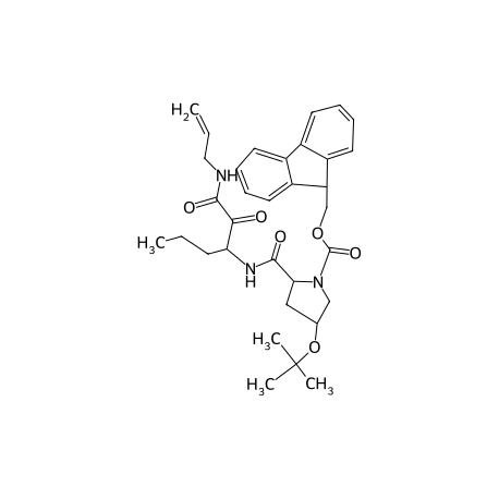 C=CCNC(=O)C(=O)C(CCC)NC(=O)C1CC(OC(C)(C)C)CN1C(=O)OCC1c2ccccc2-c2ccccc21